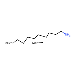 CCCCCCCCCCCCCCCCN.CNC